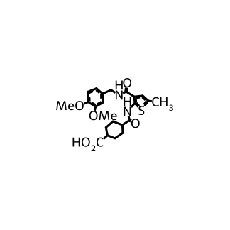 COc1ccc(CNC(=O)c2cc(C)sc2NC(=O)C2CCC(C(=O)O)CC2)cc1OC